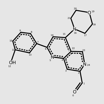 O=Cc1cc2nc(-c3cccc(O)c3)cc(N3CCOCC3)c2cn1